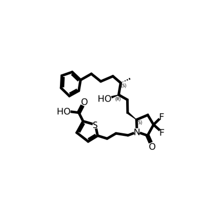 C[C@@H](CCCc1ccccc1)[C@H](O)CC[C@H]1CC(F)(F)C(=O)N1CCCc1ccc(C(=O)O)s1